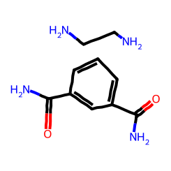 NC(=O)c1cccc(C(N)=O)c1.NCCN